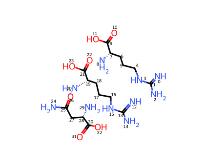 N=C(N)NCCC[C@H](N)C(=O)O.N=C(N)NCCC[C@H](N)C(=O)O.NC(=O)C[C@H](N)C(=O)O